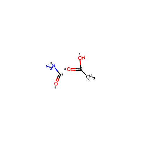 CC(=O)O.NC=O